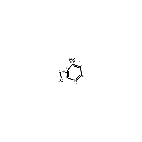 O=CO.[MgH2].c1ccncc1